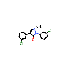 Cn1cc(-c2cccc(Cl)c2)c(=O)n1-c1cccc(Cl)c1